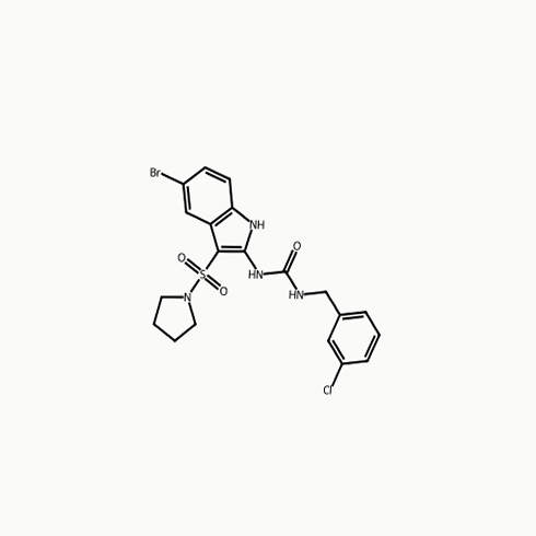 O=C(NCc1cccc(Cl)c1)Nc1[nH]c2ccc(Br)cc2c1S(=O)(=O)N1CCCC1